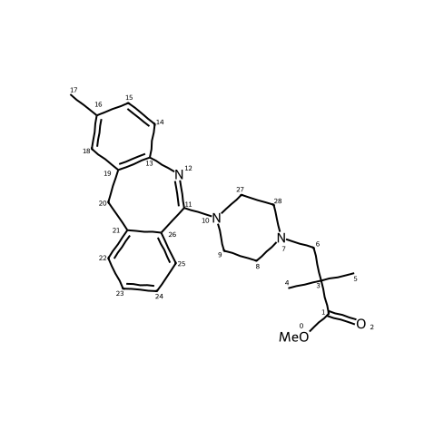 COC(=O)C(C)(C)CN1CCN(C2=Nc3ccc(C)cc3Cc3ccccc32)CC1